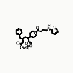 COC(=O)CC(Cc1ccccc1)CC(C1=COCO1)C1CCN(C(=O)CCCNc2ccccn2)CC1